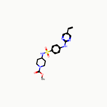 C=Cc1cnc(Nc2ccc(S(=O)(=O)NC3CCN(C(=O)OC(C)(C)C)CC3)cc2)nc1